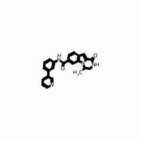 CC1CNC(=O)c2cc3ccc(C(=O)Nc4cccc(-c5cccnc5)c4)cc3n21